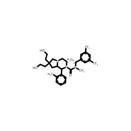 Cc1ccccc1C1C2CC(CCO)(CCO)CN2CCN1C(=O)N(C)[C@H](C)c1cc(C(F)(F)F)cc(C(F)(F)F)c1